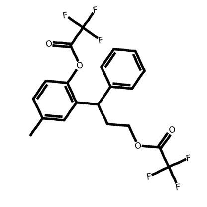 Cc1ccc(OC(=O)C(F)(F)F)c(C(CCOC(=O)C(F)(F)F)c2ccccc2)c1